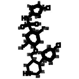 O=S(=O)(Nc1ncc(Cl)s1)c1cc(F)c(OC[C@H]2CNCC[C@@H]2c2ccc(Cl)cc2)cc1F